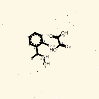 CC(NO)c1ccccc1I.O=C(O)C(=O)O